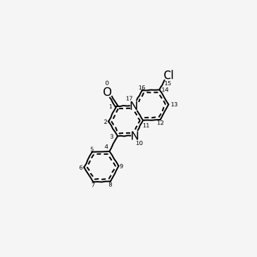 O=c1cc(-c2ccccc2)nc2ccc(Cl)cn12